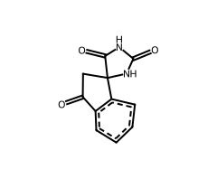 O=C1NC(=O)C2(CC(=O)c3ccccc32)N1